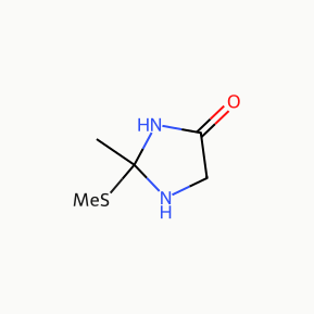 CSC1(C)NCC(=O)N1